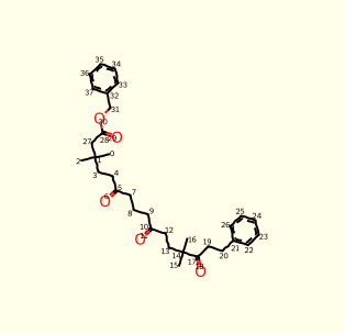 CC(C)(CCC(=O)CCCC(=O)CCC(C)(C)C(=O)CCc1ccccc1)CC(=O)OCc1ccccc1